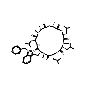 CC(C)C[C@@H]1NC(=O)[C@H](Cc2cn(Cc3ccccc3)c3ccccc23)N(C)C(=O)[C@H](CC(C)C)NC(=O)[C@H](CC(C)C)N(C)C(=O)[C@H](CC(C)C)NC(=O)[C@@H](C)OC(=O)[C@H](C)N(C)C1=O